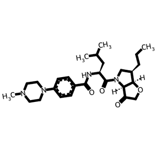 CCC[C@@H]1CN(C(=O)[C@H](CC(C)C)NC(=O)c2ccc(N3CCN(C)CC3)cc2)[C@@H]2C(=O)CO[C@H]12